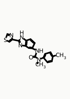 Cc1ccc(N(C)C(=O)Nc2ccc3[nH]c(-c4cscn4)nc3c2)cc1